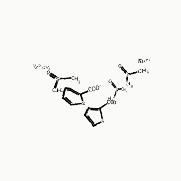 CS(C)=O.CS(C)=O.CS(C)=O.O.O.O=C([O-])c1cccs1.O=C([O-])c1cccs1.[Ru+2]